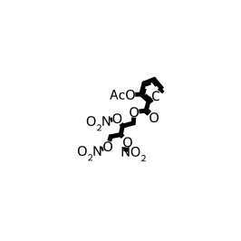 CC(=O)Oc1ccccc1C(=O)OCC(O[N+](=O)[O-])C(CO[N+](=O)[O-])O[N+](=O)[O-]